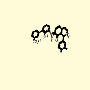 Cc1ccc(C2C3=C(C=C[N+]2=O)C=CC2(NN2c2cccc(-c4cccc(C(=O)O)c4)c2O)C3=O)cc1C